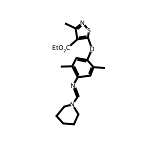 CCOC(=O)c1c(C)nsc1Oc1cc(C)c(N=CN2CCCCC2)cc1C